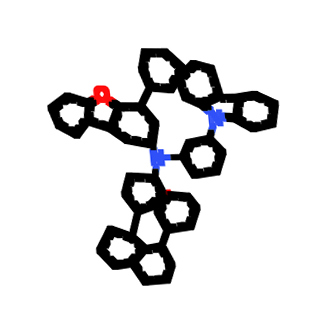 c1ccc(-c2cc(N(c3ccc(-c4cccc5cccc(-c6ccccc6)c45)cc3)c3cccc(-n4c5ccccc5c5ccccc54)c3)cc3c2oc2ccccc23)cc1